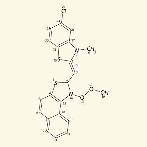 CN1/C(=C/C2Sc3ccc4ccccc4c3N2OOO)Sc2ccc(Cl)cc21